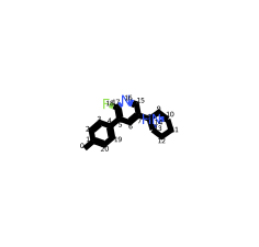 Cc1ccc(-c2cc(C3CC4CCC3N4)cnc2F)cc1